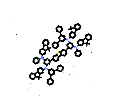 CC1(C)c2ccccc2-c2ccc(N(c3ccccc3)c3cc(-c4ccc5c(c4)sc4cc(-c6cc(N(c7ccccc7)c7ccc8c(c7)C(C)(C)c7ccccc7-8)cc(N(c7cc(-c8ccccc8)cc(-c8ccccc8)c7)c7ccc8c(c7)C(C)(C)c7ccccc7-8)c6)ccc45)cc(N(c4cc(-c5ccccc5)cc(-c5ccccc5)c4)c4ccc5c(c4)C(C)(C)c4ccccc4-5)c3)cc21